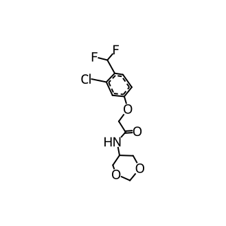 O=C(COc1ccc(C(F)F)c(Cl)c1)NC1COCOC1